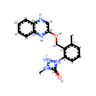 Cc1cccc(-n2[nH]n(C)c2=O)c1COc1cnc2ccccc2n1